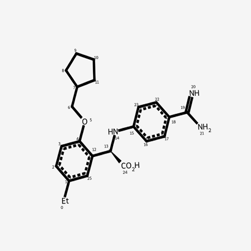 CCc1ccc(OCC2CCCC2)c([C@@H](Nc2ccc(C(=N)N)cc2)C(=O)O)c1